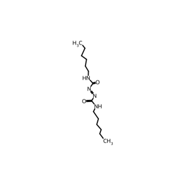 CCCCCCNC(=O)N=NC(=O)NCCCCCC